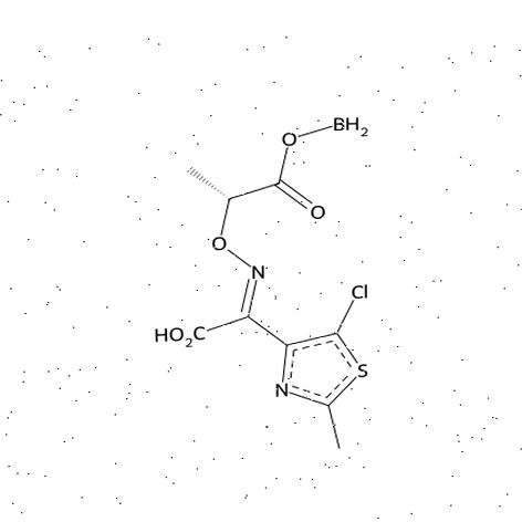 BOC(=O)[C@@H](C)O/N=C(\C(=O)O)c1nc(C)sc1Cl